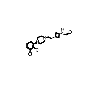 O=CN[C@H]1C[C@@H](CCN2CCN(c3cccc(Cl)c3Cl)CC2)C1